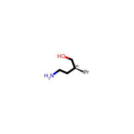 CC(C)[C@H](CO)CCN